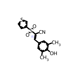 Cc1cc(/C=C(\C#N)S(=O)(=O)c2ccsc2)cc(C)c1O